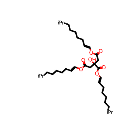 CC(C)CCCCCC=COC(=O)CC(O)(CC(=O)OC=CCCCCCC(C)C)C(=O)OC=CCCCCCC(C)C